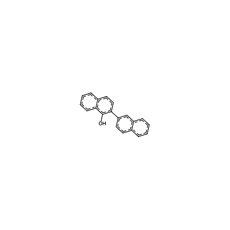 Oc1c(-c2ccc3ccccc3c2)ccc2ccccc12